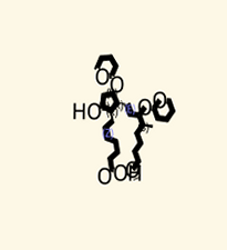 COCCCC[C@H](C)C(/C=C/[C@@H]1[C@@H](C/C=C\CCCC(=O)O)[C@@H](O)C[C@H]1OC1CCCCO1)OC1CCCCO1